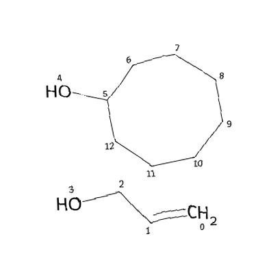 C=CCO.OC1CCCCCCC1